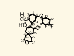 CCc1ccc(Oc2ccc(F)cc2)cc1C1=C(O)CC2(CCOCC2)CC1=O